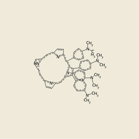 CN(C)c1ccc(-c2c(-c3ccc(N(C)C)cc3)c3c(-c4ccc(N(C)C)cc4)c4nc(cc5ccc(cc6nc(cc2n3-c2ccc(N(C)C)cc2)C=C6)[nH]5)C=C4)cc1